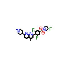 Cc1cc(-c2c(F)cc(S(=O)(=O)N3CC[C@H](F)C3)cc2F)nc2nc(C3CCN(C)CC3)ccc12